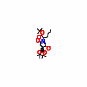 CCCCC(C(=O)OC(C)(C)C)n1cc(OC)c(B2OC(C)(C)C(C)(C)O2)cc1=O